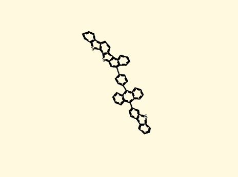 c1ccc2c(c1)sc1cc(-c3c4ccccc4c(-c4ccc(-c5cc6sc7c(ccc8c9ccccc9sc87)c6c6ccccc56)cc4)c4ccccc34)ccc12